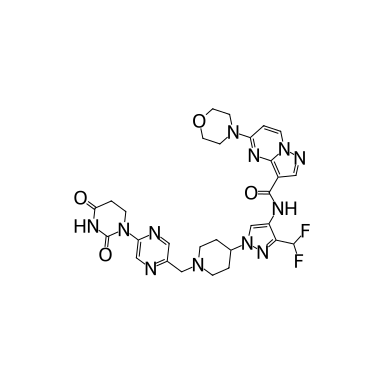 O=C1CCN(c2cnc(CN3CCC(n4cc(NC(=O)c5cnn6ccc(N7CCOCC7)nc56)c(C(F)F)n4)CC3)cn2)C(=O)N1